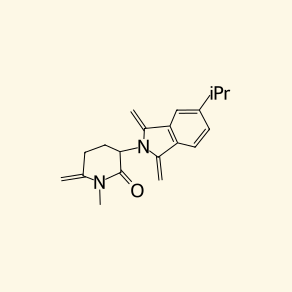 C=C1CCC(n2c(=C)c3ccc(C(C)C)cc3c2=C)C(=O)N1C